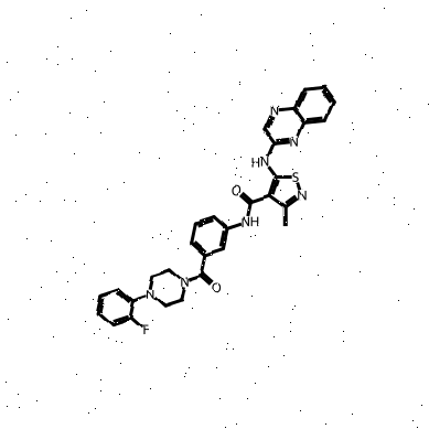 Cc1nsc(Nc2cnc3ccccc3n2)c1C(=O)Nc1cccc(C(=O)N2CCN(c3ccccc3F)CC2)c1